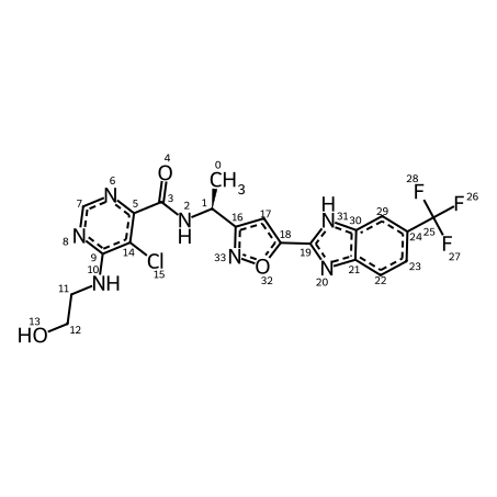 C[C@H](NC(=O)c1ncnc(NCCO)c1Cl)c1cc(-c2nc3ccc(C(F)(F)F)cc3[nH]2)on1